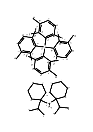 CC(C)C1([NH2+]C2(C(C)C)CCCCC2)CCCCC1.Cc1ccc(F)c([B-](c2c(F)ccc(C)c2F)(c2c(F)ccc(C)c2F)c2c(F)ccc(C)c2F)c1F